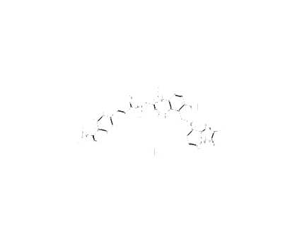 Cc1nc2c(OCc3c(Cl)ccc(N(C)C(=O)CNC(=O)C=Cc4ccc(C(=O)N(C)C)cc4)c3Cl)cccn2c1Cl.Cl